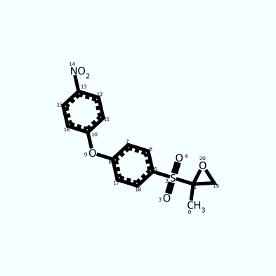 CC1(S(=O)(=O)c2ccc(Oc3ccc([N+](=O)[O-])cc3)cc2)CO1